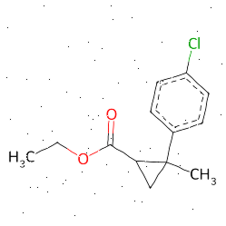 CCOC(=O)C1CC1(C)c1ccc(Cl)cc1